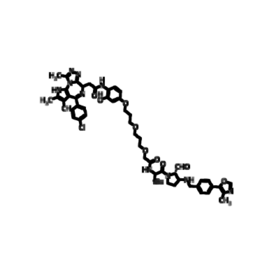 Cc1ncoc1-c1ccc(CNC2CCN(C(=O)C(NC(=O)COCCCOCCCOc3ccc(NC(=O)CC4N=C(c5ccc(Cl)cc5)c5c([nH]c(C)c5C)-n5c(C)nnc54)c(O)c3)C(C)(C)C)[C@@H]2C=O)cc1